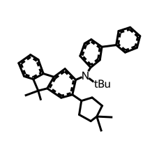 CC1(C)CCC(c2cc3c(cc2N(c2cccc(-c4ccccc4)c2)C(C)(C)C)-c2ccccc2C3(C)C)CC1